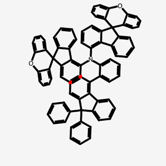 c1ccc(C2(c3ccccc3)c3ccccc3-c3c(-c4ccccc4N(c4cccc5c4-c4ccccc4C54c5ccccc5Oc5ccccc54)c4cccc5c4-c4ccccc4C54c5ccccc5Oc5ccccc54)cccc32)cc1